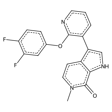 Cn1ccc2c(-c3cccnc3Oc3ccc(F)c(F)c3)c[nH]c2c1=O